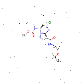 CN(C(=O)OC(C)(C)C)c1cc(Cl)nc2c(C(=O)N[C@H]3CC3O[Si](C)(C)C(C)(C)C)cnn12